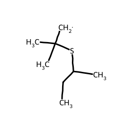 [CH2]C(C)(C)SC(C)CC